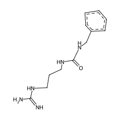 N=C(N)NCCCNC(=O)NCc1ccccc1